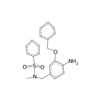 CN(Cc1ccc(N)c(OCc2ccccc2)c1)S(=O)(=O)c1ccccc1